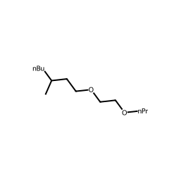 CCCCC(C)CCOCCOCCC